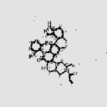 C=CC(=O)N1CC2CNc3c(c4cc(F)c(-c5c(C)ccc6[nH]ncc56)c(Cl)c4n(-c4c(C(C)C)ncnc4C(C)C)c3=O)N2CC1C